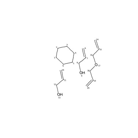 C1CCCCC1.C=CCO.C=CCO.C=CCOCC=C